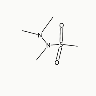 CN(C)N(C)S(C)(=O)=O